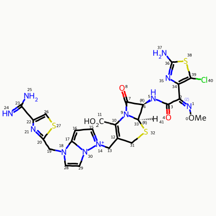 CO/N=C(\C(=O)N[C@@H]1C(=O)N2C(C(=O)O)=C(C[n+]3ccc4n(Cc5nc(C(=N)N)cs5)ccn43)CS[C@H]12)c1nc(N)sc1Cl